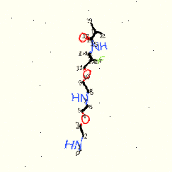 CNCCOCCNCCOCC(F)CNC(=O)C(C)C